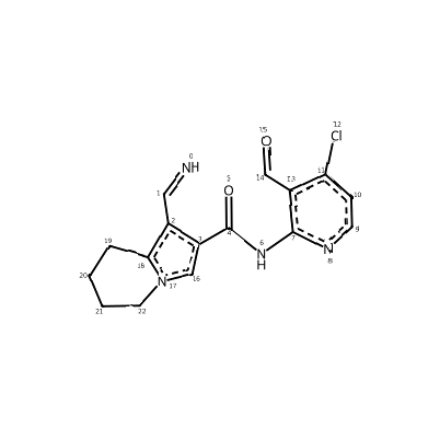 N=Cc1c(C(=O)Nc2nccc(Cl)c2C=O)cn2c1CCCC2